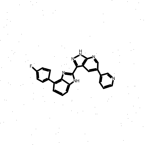 Fc1ccc(-c2cccc3[nH]c(-c4n[nH]c5ncc(-c6cccnc6)cc45)nc23)cc1